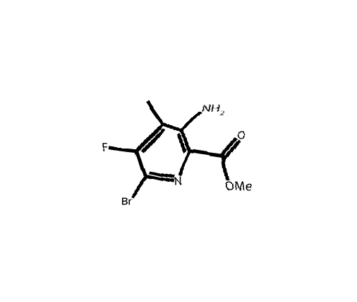 COC(=O)c1nc(Br)c(F)c(C)c1N